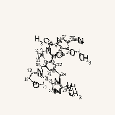 CCOc1cc([C@H](C)N2CC3(CC3)c3c(CN4CCOCC4)cc(Cn4ccnc4NC)cc3C2=O)ncc1C#N